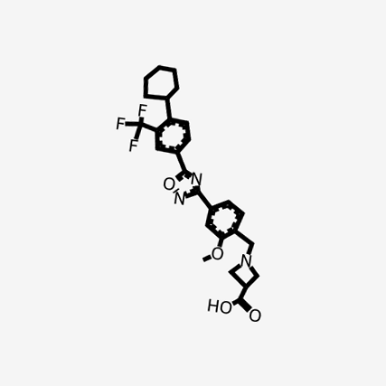 COc1cc(-c2noc(-c3ccc(C4CCCCC4)c(C(F)(F)F)c3)n2)ccc1CN1CC(C(=O)O)C1